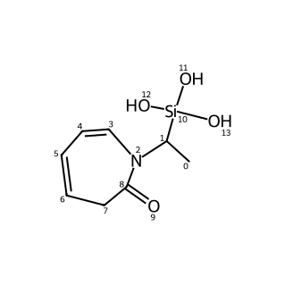 CC(N1C=CC=CCC1=O)[Si](O)(O)O